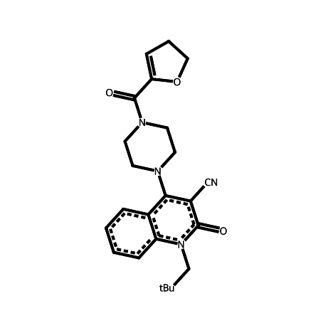 CC(C)(C)Cn1c(=O)c(C#N)c(N2CCN(C(=O)C3=CCCO3)CC2)c2ccccc21